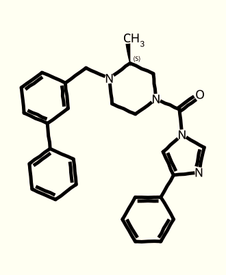 C[C@H]1CN(C(=O)n2cnc(-c3ccccc3)c2)CCN1Cc1cccc(-c2ccccc2)c1